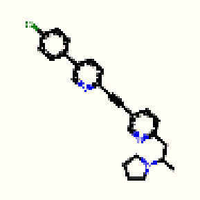 CC([CH]c1ccc(C#Cc2ccc(-c3ccc(Cl)cc3)cn2)cn1)N1CCCC1